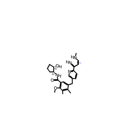 CN/C=C\C(=N)c1ccc(Cc2cc(C(=O)N[C@H]3CCC[C@@H]3O)c(OC)c(C)c2C)cn1